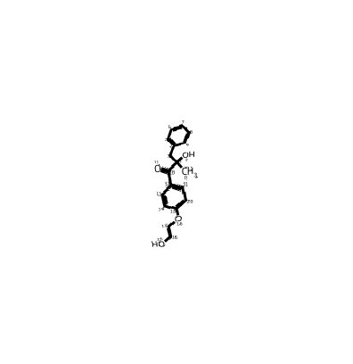 CC(O)(Cc1ccccc1)C(=O)c1ccc(OCCO)cc1